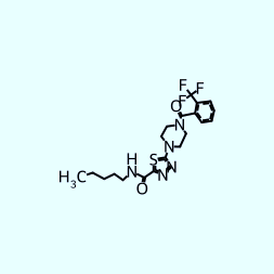 CCCCCNC(=O)c1nnc(N2CCN(C(=O)c3ccccc3C(F)(F)F)CC2)s1